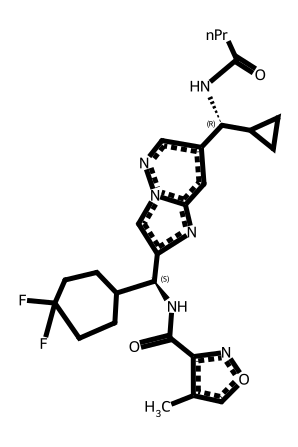 CCCC(=O)N[C@@H](c1cnn2cc([C@@H](NC(=O)c3nocc3C)C3CCC(F)(F)CC3)nc2c1)C1CC1